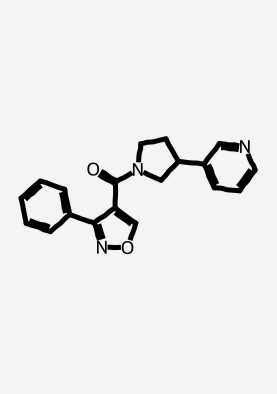 O=C(c1conc1-c1ccccc1)N1CCC(c2cccnc2)C1